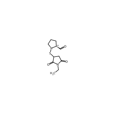 CCN1C(=O)CC(SN2CCC[C@H]2C=O)C1=O